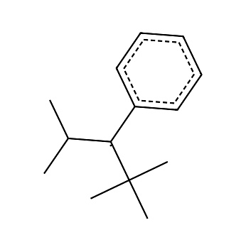 CC(C)[C](c1ccccc1)C(C)(C)C